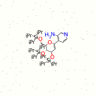 CC(C)[Si](OC[C@H]1OC(c2ccncc2N)=C[C@@H](O[Si](C(C)C)(C(C)C)C(C)C)[C@@H]1O[Si](C(C)C)(C(C)C)C(C)C)(C(C)C)C(C)C